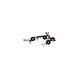 COC(=O)c1ccc(OC(=O)CCCc2ccc(NC(=O)c3ccc(C)nc3-c3ccc(C(F)(F)F)cc3)c(C(=O)N(C)C)c2)cc1